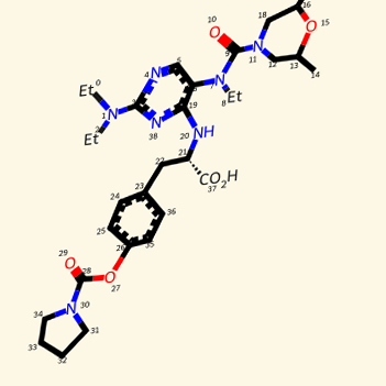 CCN(CC)c1ncc(N(CC)C(=O)N2CC(C)OC(C)C2)c(N[C@@H](Cc2ccc(OC(=O)N3CCCC3)cc2)C(=O)O)n1